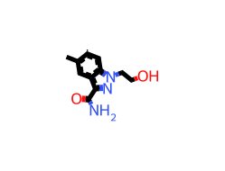 Cc1[c]cc2c(c1)c(C(N)=O)nn2CCO